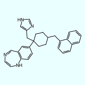 C1=CNc2ccc(C3(Cc4c[nH]cn4)CCC(Cc4cccc5ccccc45)CC3)cc2C=N1